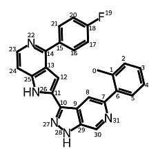 Cc1ccccc1-c1cc2c(-c3cc4c(-c5ccc(F)cc5)nccc4[nH]3)n[nH]c2cn1